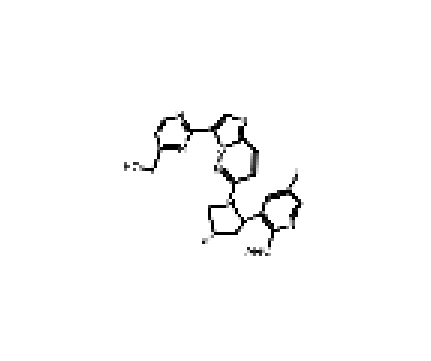 COc1ncc(F)cc1[C@H]1C[C@H](F)CN1c1ccc2ncc(-c3nccc(CO)n3)n2n1